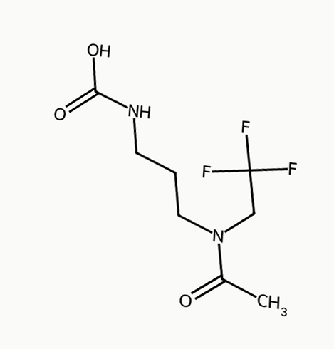 CC(=O)N(CCCNC(=O)O)CC(F)(F)F